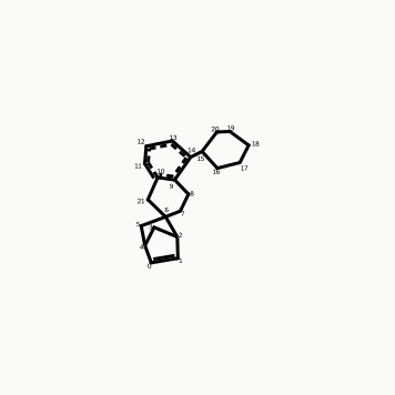 C1=CC2CC1CC21CCc2c(cccc2C2CCCCC2)C1